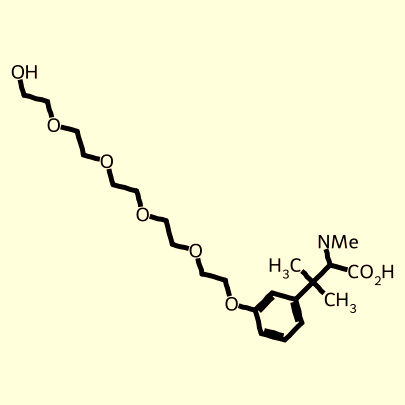 CNC(C(=O)O)C(C)(C)c1cccc(OCCOCCOCCOCCOCCO)c1